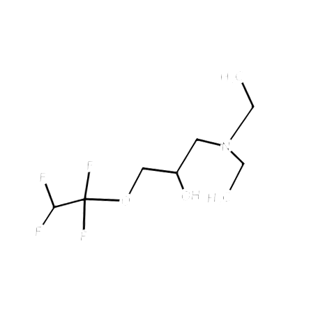 CCN(CC)CC(O)COC(F)(F)C(F)F